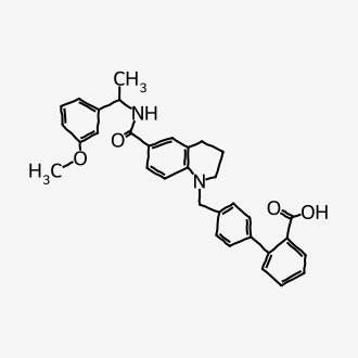 COc1cccc(C(C)NC(=O)c2ccc3c(c2)CCCN3Cc2ccc(-c3ccccc3C(=O)O)cc2)c1